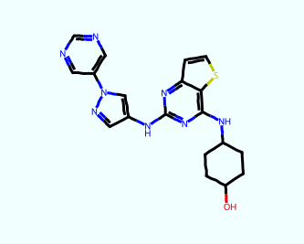 OC1CCC(Nc2nc(Nc3cnn(-c4cncnc4)c3)nc3ccsc23)CC1